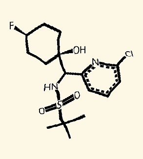 CC(C)(C)S(=O)(=O)NC(c1cccc(Cl)n1)[C@]1(O)CC[C@@H](F)CC1